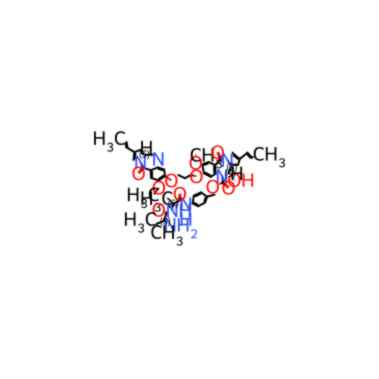 CC=CC1=CN2C(=O)c3cc(OC)c(OCCCOc4cc5c(cc4OC)C(=O)N4C=C(C=CC)C[C@H]4[C@H](O)N5C(=O)OCc4ccc(NC(=O)[C@H](C)NC(=O)[C@@H](N)C(C)C)cc4)cc3N=C[C@@H]2C1